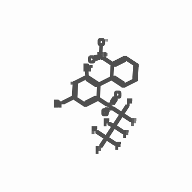 O=[N+]([O-])c1ccccc1-c1c(Br)[c]c(Br)cc1S(=O)(=O)C(F)(F)C(F)(F)C(F)(F)F